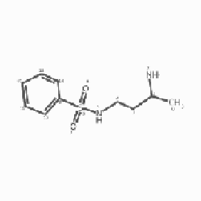 CC([NH])CCNS(=O)(=O)c1ccccc1